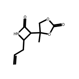 C=CCC1NC(=O)C1C1(C)COC(=O)O1